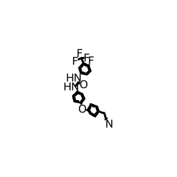 N#CCc1ccc(Oc2ccc(NC(=O)Nc3ccc(F)c(C(F)(F)F)c3)cc2)cc1